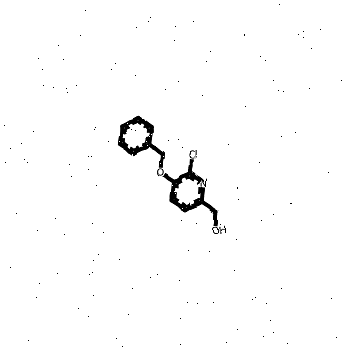 OCc1ccc(OCc2ccccc2)c(Cl)n1